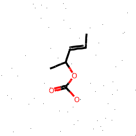 CC=CC(C)OC([O])=O